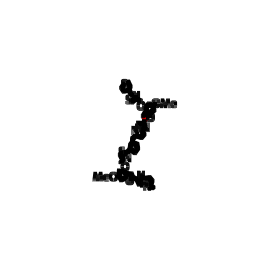 COc1cc(OCc2csc(-c3cccc(Cc4ccc5nc(-c6cc7c(OCc8csc(C9CCSCC9)n8)cc(OC)cc7o6)cn5n4)c3)n2)c2cc(-c3cn4nc(C)ccc4n3)oc2c1